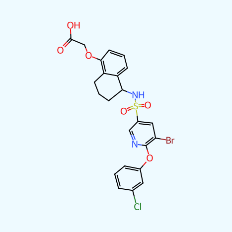 O=C(O)COc1cccc2c1CCCC2NS(=O)(=O)c1cnc(Oc2cccc(Cl)c2)c(Br)c1